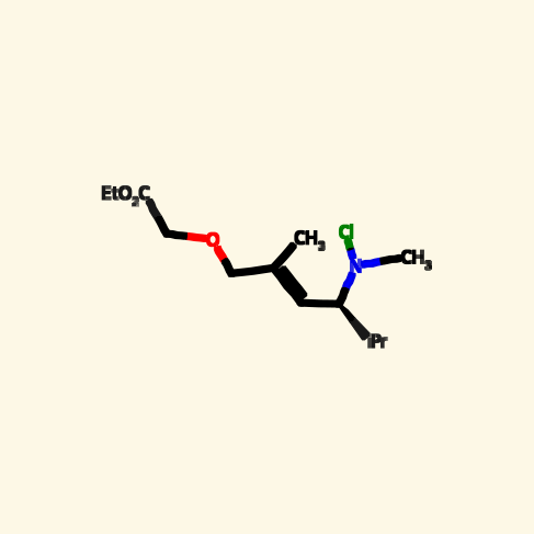 CCOC(=O)COC/C(C)=C/[C@H](C(C)C)N(C)Cl